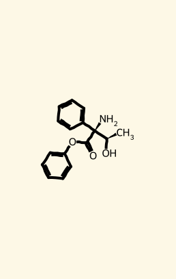 C[C@@H](O)[C@](N)(C(=O)Oc1ccccc1)c1ccccc1